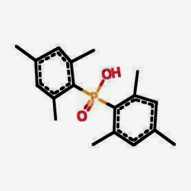 Cc1cc(C)c(P(=O)(O)c2c(C)cc(C)cc2C)c(C)c1